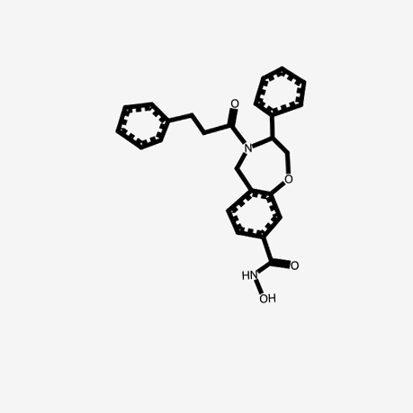 O=C(NO)c1ccc2c(c1)OCC(c1ccccc1)N(C(=O)CCc1ccccc1)C2